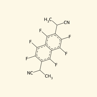 CC(C#N)c1c(F)c(F)c2c(F)c(C(C)C#N)c(F)c(F)c2c1F